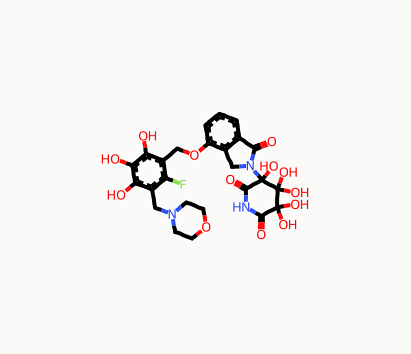 O=C1c2cccc(OCc3c(O)c(O)c(O)c(CN4CCOCC4)c3F)c2CN1C1(O)C(=O)NC(=O)C(O)(O)C1(O)O